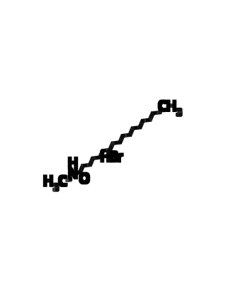 Br.CCCCCCCCCCCCCCCCCC(=O)NCC